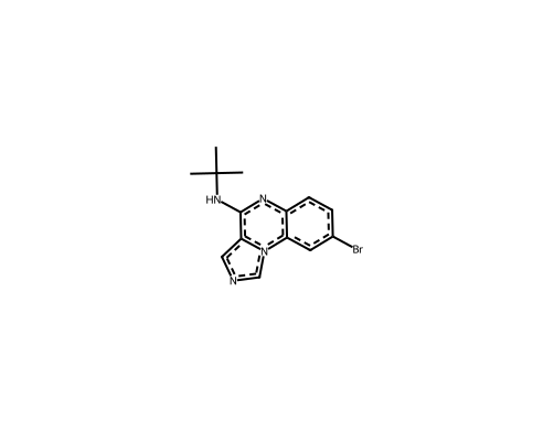 CC(C)(C)Nc1nc2ccc(Br)cc2n2cncc12